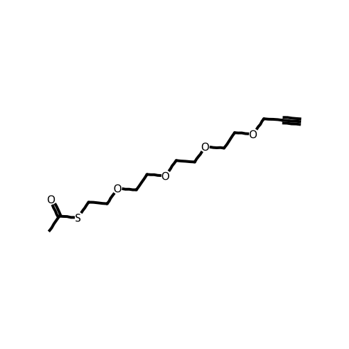 C#CCOCCOCCOCCOCCSC(C)=O